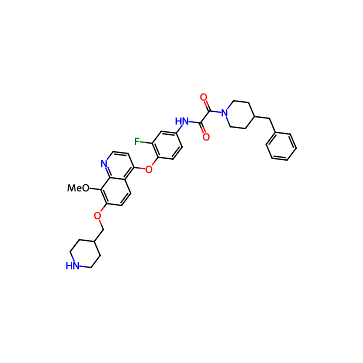 COc1c(OCC2CCNCC2)ccc2c(Oc3ccc(NC(=O)C(=O)N4CCC(Cc5ccccc5)CC4)cc3F)ccnc12